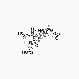 CC(=O)OC[C@H](COP(=O)(O)OCC(COC(=O)[C@@H](N)CCC(=O)O)OC(=O)[C@@H](N)CCC(=O)O)OC(C)=O